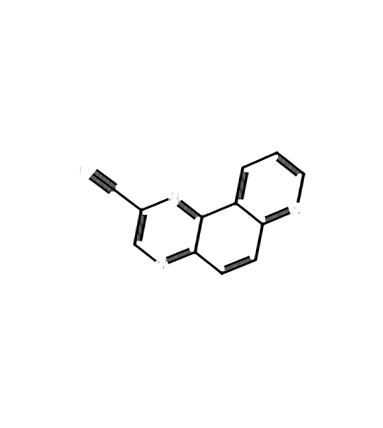 C#Cc1cnc2ccc3ncccc3c2n1